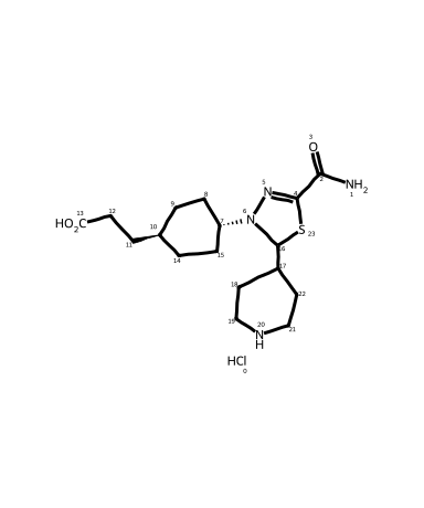 Cl.NC(=O)C1=NN([C@H]2CC[C@H](CCC(=O)O)CC2)C(C2CCNCC2)S1